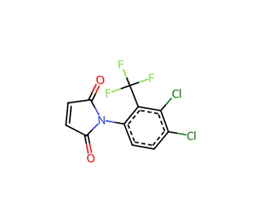 O=C1C=CC(=O)N1c1ccc(Cl)c(Cl)c1C(F)(F)F